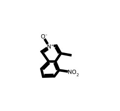 Cc1c[n+]([O-])cc2cccc([N+](=O)[O-])c12